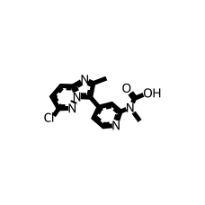 Cc1nc2ccc(Cl)nn2c1-c1ccnc(N(C)C(=O)O)c1